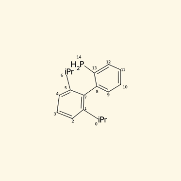 CC(C)c1cccc(C(C)C)c1-c1ccccc1P